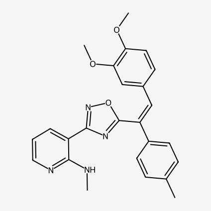 CNc1ncccc1-c1noc(/C(=C\c2ccc(OC)c(OC)c2)c2ccc(C)cc2)n1